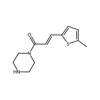 Cc1ccc(C=CC(=O)N2CCNCC2)s1